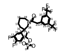 CS(=O)(=O)OCC[C@]1(c2ccc(F)c(F)c2)CCCCN(C(=O)Cc2cc(C(F)(F)F)cc(C(F)(F)F)c2)C1